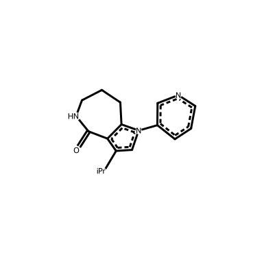 CC(C)c1cn(-c2cccnc2)c2c1C(=O)NCCC2